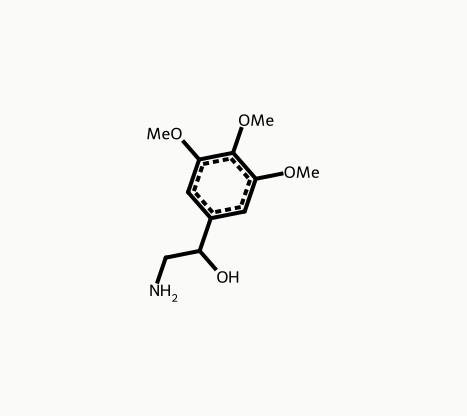 COc1cc(C(O)CN)cc(OC)c1OC